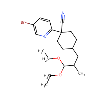 C[SiH2]OC(O[SiH2]C)C(C)CC1CCC(C#N)(c2ccc(Br)cn2)CC1